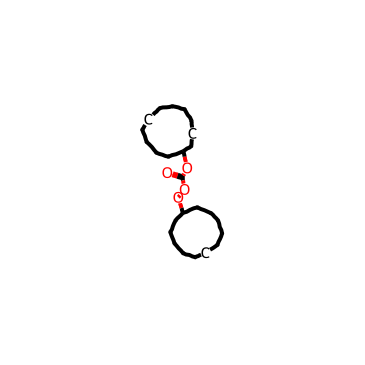 O=C(OOC1CCCCCCCCCCC1)OC1CCCCCCCCCCC1